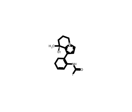 CC[C@@]1(C)CCCn2ccc(C3=C(NC(=O)I)C=CCC3)c21